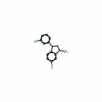 CC1CC(c2cccc(Cl)c2)c2ccc(Cl)cc21